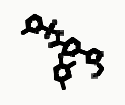 Cc1ccc(Oc2nc(-c3cnn(CC(C)C)c3)ccc2C(=O)NS(=O)(=O)c2cccc(C)n2)c(C)c1